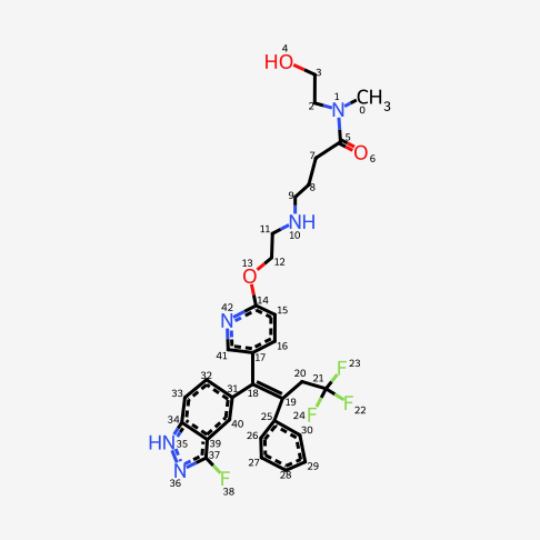 CN(CCO)C(=O)CCCNCCOc1ccc(C(=C(CC(F)(F)F)c2ccccc2)c2ccc3[nH]nc(F)c3c2)cn1